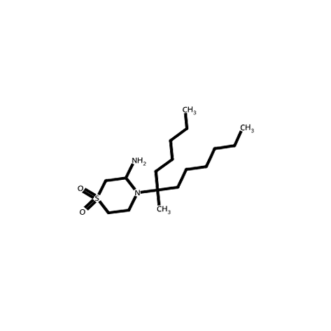 CCCCCCC(C)(CCCCC)N1CCS(=O)(=O)CC1N